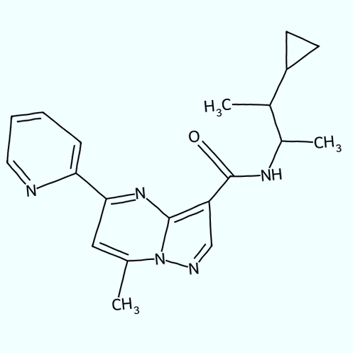 Cc1cc(-c2ccccn2)nc2c(C(=O)NC(C)C(C)C3CC3)cnn12